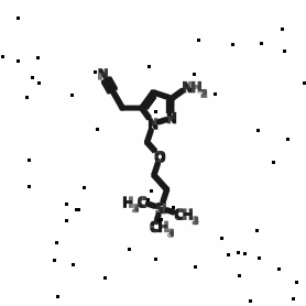 C[Si](C)(C)CCOCn1nc(N)cc1CC#N